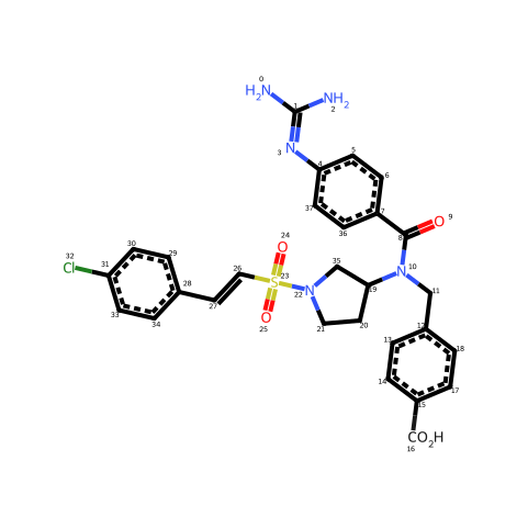 NC(N)=Nc1ccc(C(=O)N(Cc2ccc(C(=O)O)cc2)C2CCN(S(=O)(=O)/C=C/c3ccc(Cl)cc3)C2)cc1